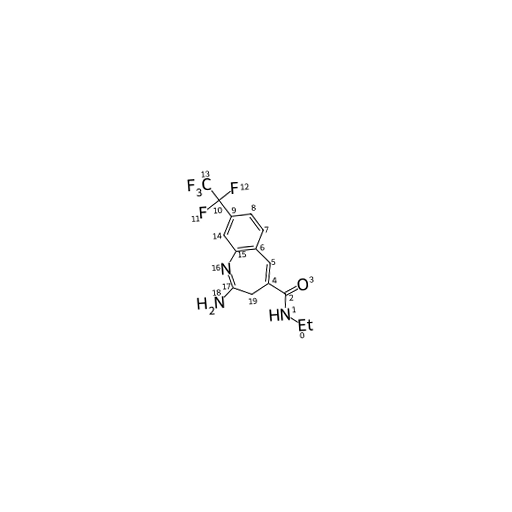 CCNC(=O)C1=Cc2ccc(C(F)(F)C(F)(F)F)cc2N=C(N)C1